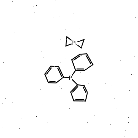 [CH2]1[CH2][Pt]12[CH2][CH2]2.c1ccc(P(c2ccccc2)c2ccccc2)cc1